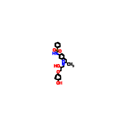 C[C@@H](Cc1ccc(NS(=O)(=O)c2ccccc2)cc1)NC[C@H](O)COc1ccc(O)cc1